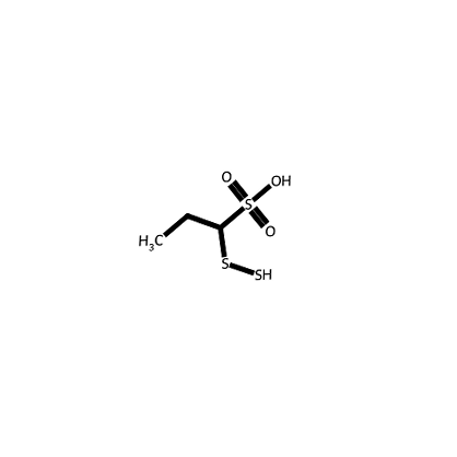 CCC(SS)S(=O)(=O)O